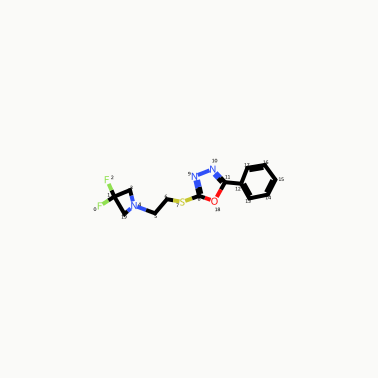 FC1(F)CN(CCSc2nnc(-c3ccccc3)o2)C1